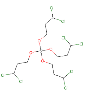 ClC(Cl)CCO[Si](OCCC(Cl)Cl)(OCCC(Cl)Cl)OCCC(Cl)Cl